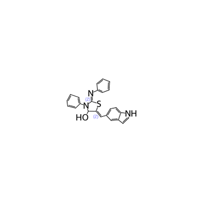 OC1/C(=C/c2ccc3[nH]ccc3c2)S/C(=N\c2ccccc2)N1c1ccccc1